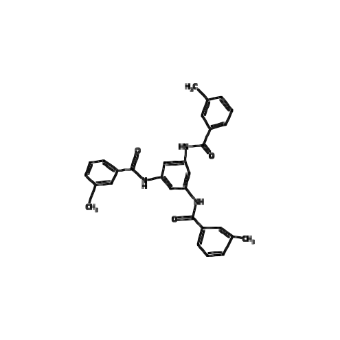 Cc1cccc(C(=O)Nc2cc(NC(=O)c3cccc(C)c3)cc(NC(=O)c3cccc(C)c3)c2)c1